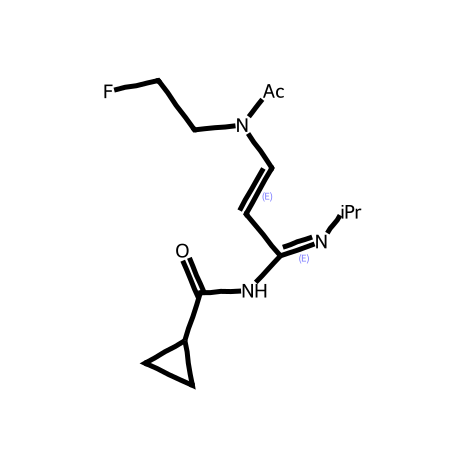 CC(=O)N(/C=C/C(=N\C(C)C)NC(=O)C1CC1)CCF